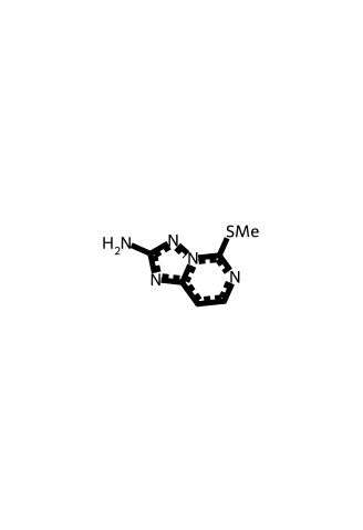 CSc1nccc2nc(N)nn12